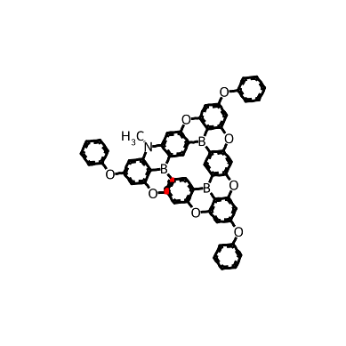 CN1c2cc3c(cc2B2c4ccccc4Oc4cc(Oc5ccccc5)cc1c42)B1c2cc4c(cc2Oc2cc(Oc5ccccc5)cc(c21)O3)Oc1cc(Oc2ccccc2)cc2c1B4c1ccccc1O2